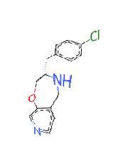 Clc1ccc(C[C@H]2COc3cnccc3CN2)cc1